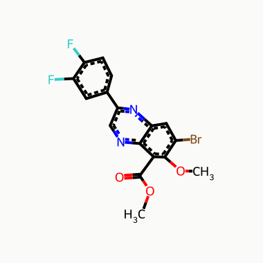 COC(=O)c1c(OC)c(Br)cc2nc(-c3ccc(F)c(F)c3)cnc12